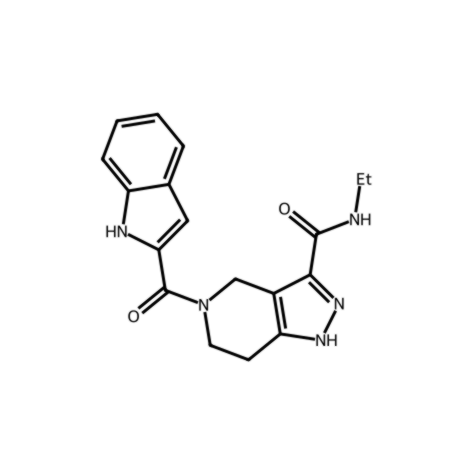 CCNC(=O)c1n[nH]c2c1CN(C(=O)c1cc3ccccc3[nH]1)CC2